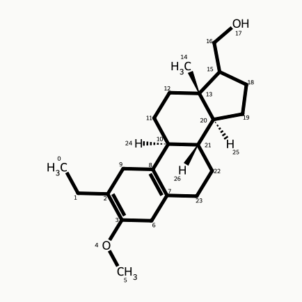 CCC1=C(OC)CC2=C(C1)[C@H]1CC[C@]3(C)C(CO)CC[C@H]3[C@@H]1CC2